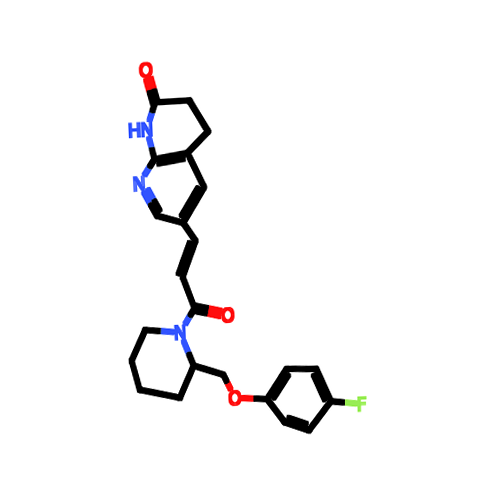 O=C1CCc2cc(C=CC(=O)N3CCCCC3COc3ccc(F)cc3)cnc2N1